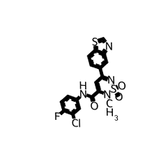 CN1C(C(=O)Nc2ccc(F)c(Cl)c2)=CC(c2ccc3scnc3c2)=NS1(=O)=O